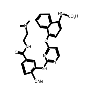 COc1ccc(C(=O)NCCN(C)C)cc1Nc1nccc(Oc2ccc(NC(=O)O)c3ccccc23)n1